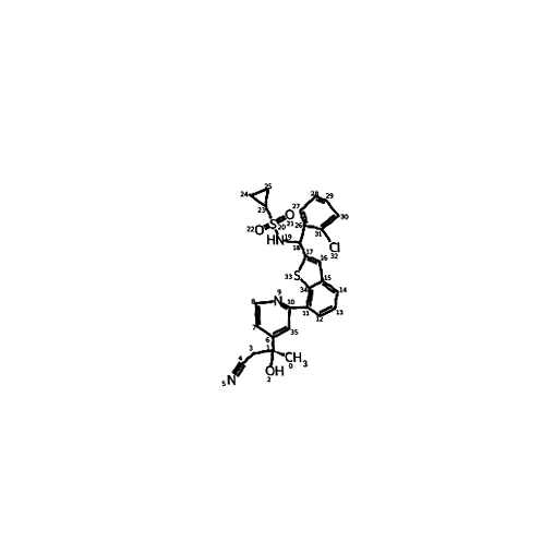 C[C@@](O)(CC#N)c1ccnc(-c2cccc3cc(C(NS(=O)(=O)C4CC4)c4ccccc4Cl)sc23)c1